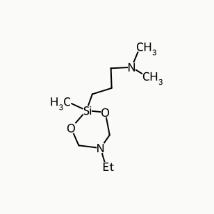 CCN1CO[Si](C)(CCCN(C)C)OC1